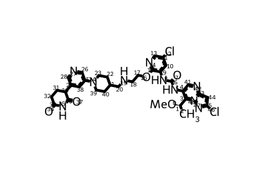 CO[C@@H](C)c1c(NC(=O)Nc2cc(Cl)cnc2OCCNCC2CCN(c3cncc(C4CCC(=O)NC4=O)c3)CC2)cnc2cc(Cl)nn12